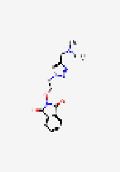 CC(C)(C)N(Cc1cn(CCON2C(=O)c3ccccc3C2=O)nn1)C(=O)O